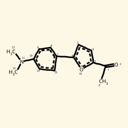 CC(=O)c1ccc(-c2ccc(N(C)C)cc2)o1